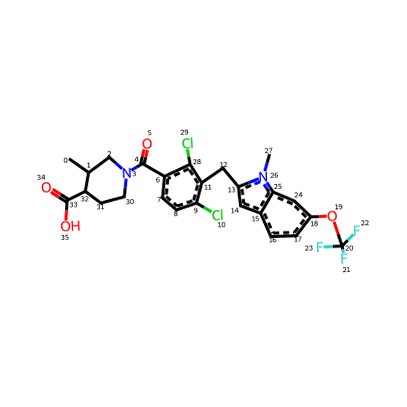 CC1CN(C(=O)c2ccc(Cl)c(Cc3cc4ccc(OC(F)(F)F)cc4n3C)c2Cl)CCC1C(=O)O